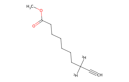 [2H]C([2H])(C#C)CCCCCCC(=O)OC